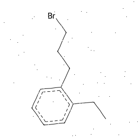 CCc1ccccc1CCCBr